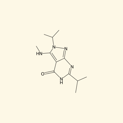 CNc1c2c(=O)[nH]c(C(C)C)nc2nn1C(C)C